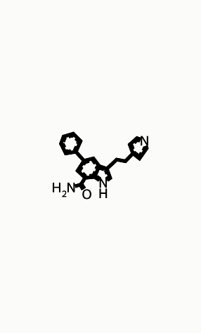 NC(=O)c1cc(-c2ccccc2)cc2c(CCc3ccncc3)c[nH]c12